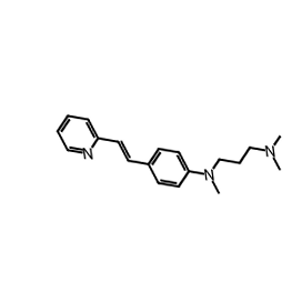 CN(C)CCCN(C)c1ccc(/C=C/c2ccccn2)cc1